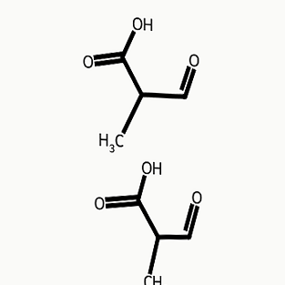 CC(C=O)C(=O)O.CC(C=O)C(=O)O